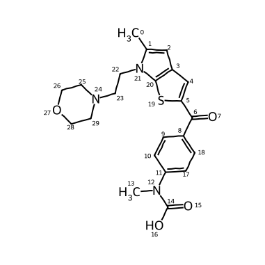 Cc1cc2cc(C(=O)c3ccc(N(C)C(=O)O)cc3)sc2n1CCN1CCOCC1